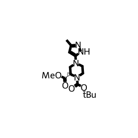 COC(=O)[C@@H]1CN(c2cc(C)n[nH]2)CCN1C(=O)OC(C)(C)C